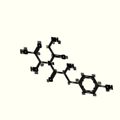 NCC(=O)N(C(=O)C(N)Cc1ccc(O)cc1)C(O)C(=O)O